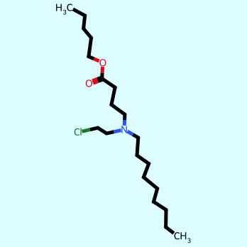 CCCCCCCCCN(CCCl)CCCC(=O)OCCCCC